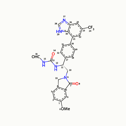 COc1ccc2c(c1)C(=O)N(C[C@H](NC(=O)NC=O)c1ccc(-c3cc(C(F)(F)F)cc4nc[nH]c34)cc1)C2